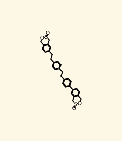 O=S1Cc2cc(CCc3ccc(CCc4ccc(-c5ccc6c(c5)CS(=O)OC6)cc4)cc3)ccc2CO1